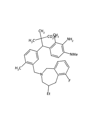 CCC1Cc2c(F)cccc2CN(Cc2cc(C(c3ccc(NC)c(N)c3C)C(C)(C)C(=O)O)ccc2C)C1